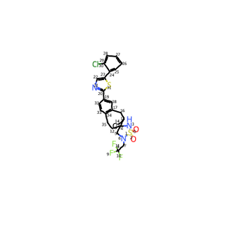 O=S1(=O)NC2(CN1CC(F)(F)F)C1CCC2Cc2cc(-c3ncc(-c4ccccc4Cl)s3)ccc2C1